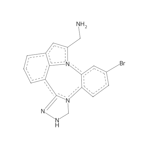 NCc1cc2cccc3c4n(c5ccc(Br)cc5n1c23)CNN=4